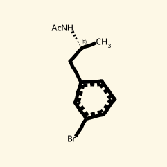 CC(=O)N[C@H](C)Cc1cccc(Br)c1